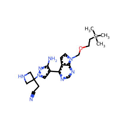 C[Si](C)(C)CCOCn1ccc2c(-c3cn(C4(CC#N)CNC4)nc3N)ncnc21